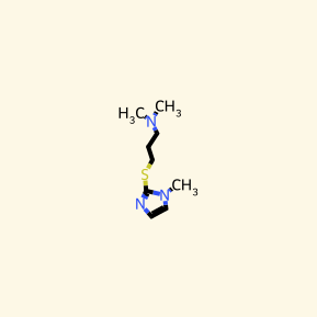 CN(C)CCCSc1nccn1C